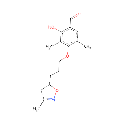 CC1=NOC(CCCOc2c(C)cc(C=O)c(O)c2C)C1